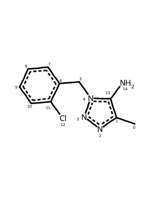 Cc1nnn(Cc2ccccc2Cl)c1N